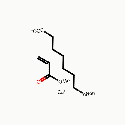 C=CC(=O)OC.CCCCCCCCCCCCCCCC(=O)[O-].[Cu+]